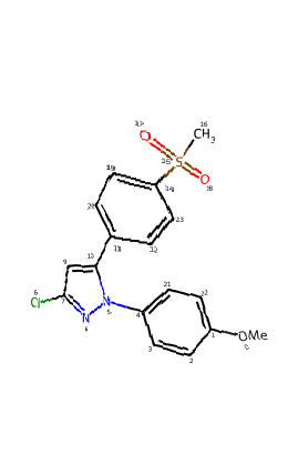 COc1ccc(-n2nc(Cl)cc2-c2ccc(S(C)(=O)=O)cc2)cc1